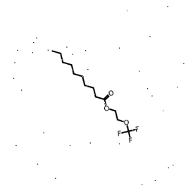 CCCCCCCCCC(=O)OCCOC(F)(F)F